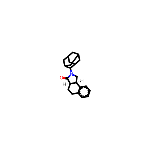 O=C1[C@@H]2CCc3ccccc3[C@@H]2CN1C1C2CC3CC(C2)CC1C3